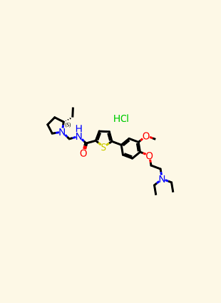 CC[C@H]1CCCN1CNC(=O)c1ccc(-c2ccc(OCCN(CC)CC)c(OC)c2)s1.Cl